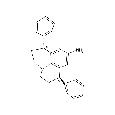 Nc1cc2c3c(n1)[C@@H](c1ccccc1)CCN3CC[C@@H]2c1ccccc1